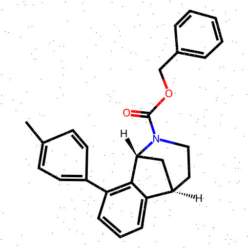 Cc1ccc(-c2cccc3c2[C@H]2C[C@H]3CCN2C(=O)OCc2ccccc2)cc1